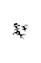 CSc1sc(C(=N)N)cc1S(=O)(=O)c1nccn1C.O=C(O)C(F)(F)F